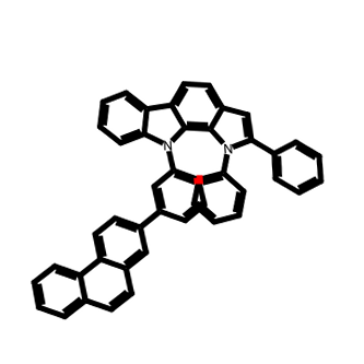 c1ccc(-c2cc3ccc4c5ccccc5n(-c5cccc(-c6ccc7c(ccc8ccccc87)c6)c5)c4c3n2-c2ccccc2)cc1